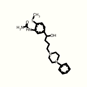 CSc1ccc(C(O)CCCN2CCN(c3ccccc3)CC2)cc1NC(N)=O